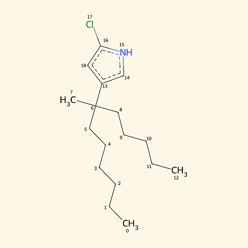 CCCCCCC(C)(CCCCC)c1c[nH]c(Cl)c1